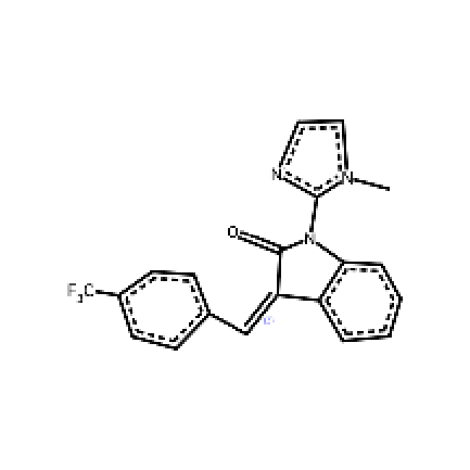 Cn1ccnc1N1C(=O)/C(=C\c2ccc(C(F)(F)F)cc2)c2ccccc21